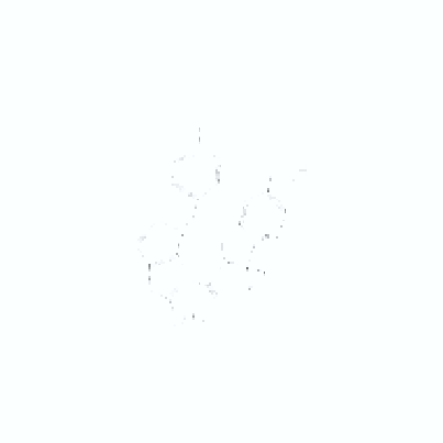 COc1sc2ccn(Cc3ccc(C(F)(F)F)cc3)c2c1C(=O)NC1(c2ccc(C(=O)O)cc2)CC1